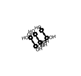 Oc1ccc(C#Cc2cc(O)cc(O)c2)cc1.Oc1ccc(C#Cc2ccc(O)c(O)c2)cc1.Oc1ccc(C#Cc2ccc(O)c(O)c2)cc1O